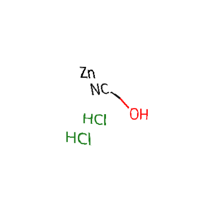 Cl.Cl.N#CO.[Zn]